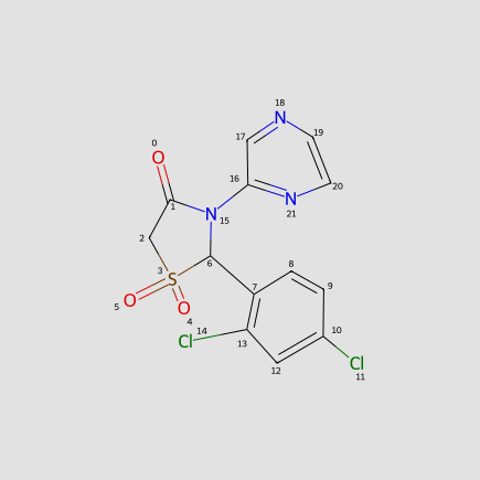 O=C1CS(=O)(=O)C(c2ccc(Cl)cc2Cl)N1c1cnccn1